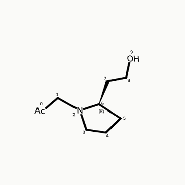 CC(=O)CN1CCC[C@@H]1CCO